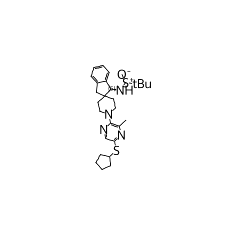 Cc1nc(SC2CCCC2)cnc1N1CCC2(CC1)Cc1ccccc1[C@H]2N[S+]([O-])C(C)(C)C